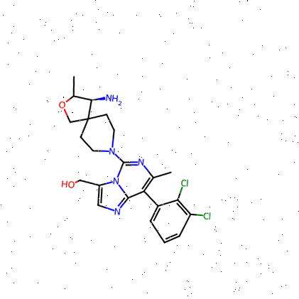 Cc1nc(N2CCC3(CC2)COC(C)[C@H]3N)n2c(CO)cnc2c1-c1cccc(Cl)c1Cl